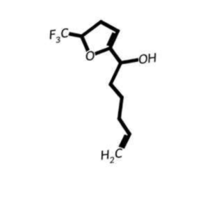 C=CCCCC(O)C1=CCC(C(F)(F)F)O1